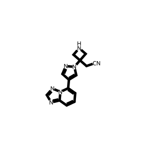 N#CCC1(n2cc(-c3cccc4ncnn34)cn2)CNC1